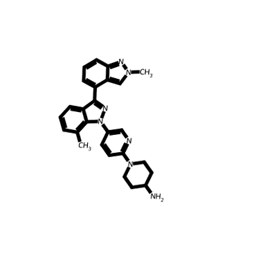 Cc1cccc2c(-c3cccc4nn(C)cc34)nn(-c3ccc(N4CCC(N)CC4)nc3)c12